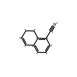 N#Cc1cccc2c1CCC=C2